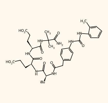 CCC(C)[C@H](NC(=O)Cc1ccc(NC(=O)Nc2ccccc2C)cc1)C(=O)N[C@@H](CCC(=O)O)C(=O)N[C@@H](CCC(=O)O)C(=O)NC(C)(C)C(N)=O